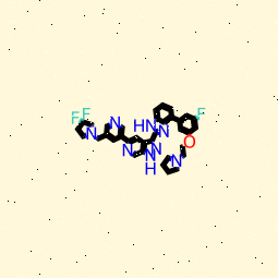 Fc1cc(OCCN2CCCC2)cc(-c2cccc3[nH]c(-c4n[nH]c5cnc(-c6cncc(CN7CCC(F)(F)C7)c6)cc45)nc23)c1